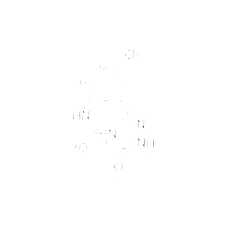 O=c1[nH]nc2c3cc(Cl)ccc3[nH]c(=O)n12